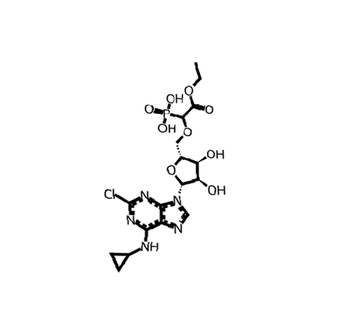 CCOC(=O)C(OC[C@H]1O[C@@H](n2cnc3c(NC4CC4)nc(Cl)nc32)[C@H](O)[C@@H]1O)P(=O)(O)O